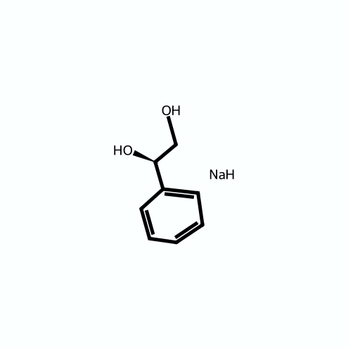 OC[C@H](O)c1ccccc1.[NaH]